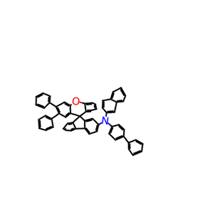 c1ccc(-c2ccc(N(c3ccc4c(c3)C3(c5ccccc5Oc5cc(-c6ccccc6)c(-c6ccccc6)cc53)c3ccccc3-4)c3ccc4ccccc4c3)cc2)cc1